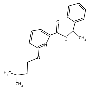 CC(C)CCOc1cccc(C(=O)NC(C)c2ccccc2)n1